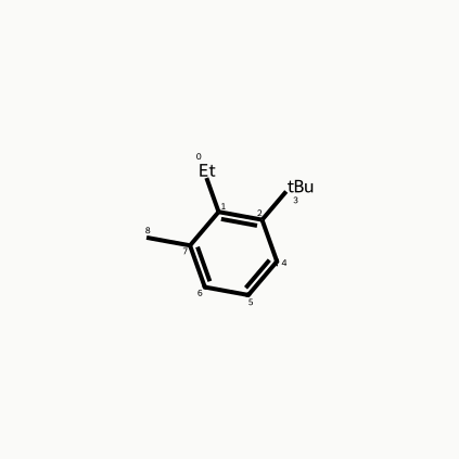 CCc1c(C(C)(C)C)[c]ccc1C